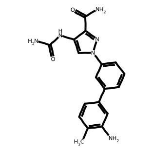 Cc1ccc(-c2cccc(-n3cc(NC(N)=O)c(C(N)=O)n3)c2)cc1N